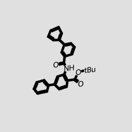 CC(C)(C)OC(=O)c1ccc(-c2ccccc2)cc1NC(=O)c1cccc(-c2ccccc2)c1